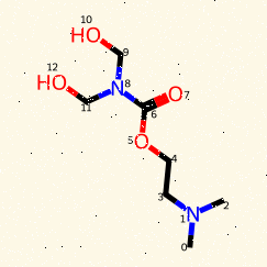 CN(C)CCOC(=O)N(CO)CO